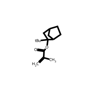 C=C(C)C(=O)OC1(C(C)(C)C)CC2CCC1C2